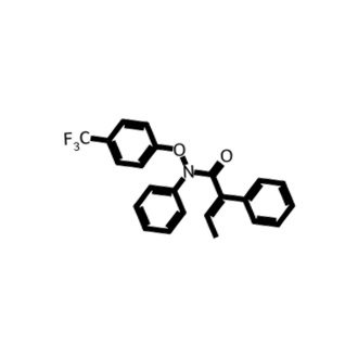 CC=C(C(=O)N(Oc1ccc(C(F)(F)F)cc1)c1ccccc1)c1ccccc1